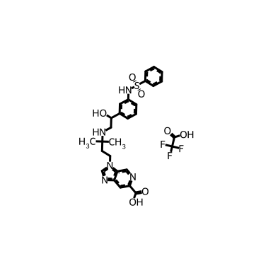 CC(C)(CCn1cnc2cc(C(=O)O)ncc21)NCC(O)c1cccc(NS(=O)(=O)c2ccccc2)c1.O=C(O)C(F)(F)F